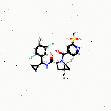 CS(=O)(=O)c1cc(C(=O)N2[C@@H](C(=O)NC(c3cc(F)c(C(F)(F)F)cc3F)C3CC3)C[C@@H]3C[C@@H]32)ccn1